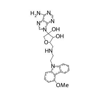 COc1cccc2c1c1ccccc1n2CCNCC1OCC(O)(n2cnc3c(N)ncnc32)C1O